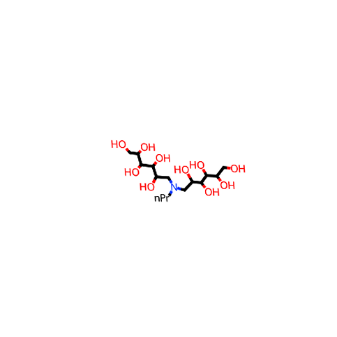 CCCN(CC(O)C(O)C(O)C(O)CO)CC(O)C(O)C(O)C(O)CO